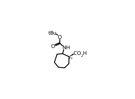 CC(C)(C)OC(=O)NC1CCCCC[C@@H]1C(=O)O